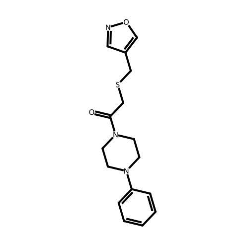 O=C(CSCc1cnoc1)N1CCN(c2ccccc2)CC1